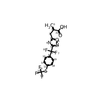 C=C(Cc1nc(C(F)(F)c2ccc(SC(F)(F)F)cc2)no1)C(=O)O